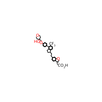 O=C(O)C[C@@H]1COc2cc(CCC3CCc4c3ccc(C(F)(F)F)c4-c3ccc(OCC4(O)CCOCC4)cc3)ccc21